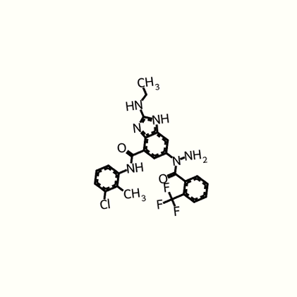 CCNc1nc2c(C(=O)Nc3cccc(Cl)c3C)cc(N(N)C(=O)c3ccccc3C(F)(F)F)cc2[nH]1